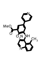 COC(=O)c1cc(-c2ccncc2)cc(Nc2ccnc3cccc(C)c23)c1[N+](=O)[O-]